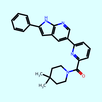 CC1(C)CCN(C(=O)c2cccc(-c3cnc4[nH]c(-c5ccccc5)cc4c3)n2)CC1